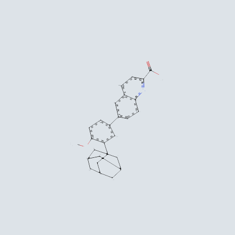 COc1ccc(-c2ccc3nc(C(=O)O)ccc3c2)cc1C12CC3CC(CC(C3)C1)C2